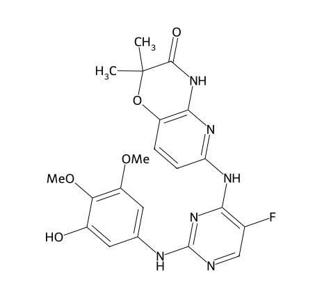 COc1cc(Nc2ncc(F)c(Nc3ccc4c(n3)NC(=O)C(C)(C)O4)n2)cc(O)c1OC